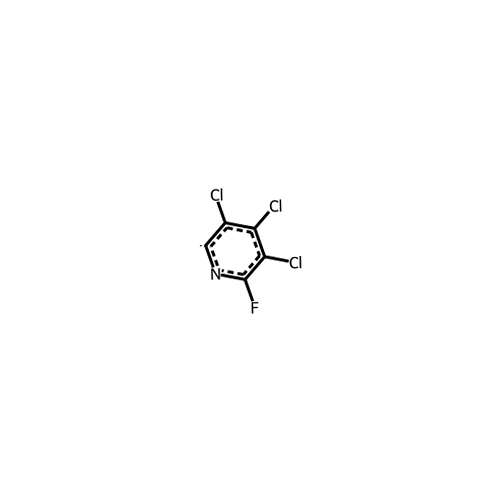 Fc1n[c]c(Cl)c(Cl)c1Cl